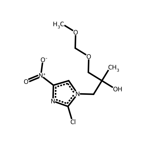 COCOCC(C)(O)Cn1cc([N+](=O)[O-])nc1Cl